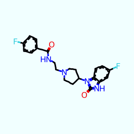 O=C(NCCN1CCC(n2c(=O)[nH]c3cc(F)ccc32)CC1)c1ccc(F)cc1